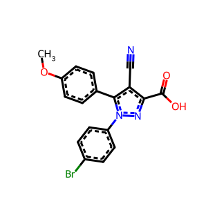 COc1ccc(-c2c(C#N)c(C(=O)O)nn2-c2ccc(Br)cc2)cc1